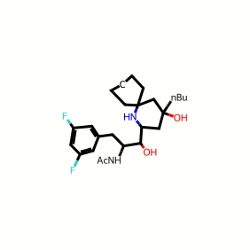 CCCCC1(O)CC(C(O)C(Cc2cc(F)cc(F)c2)NC(C)=O)NC2(CCCCC2)C1